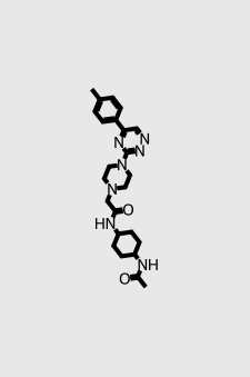 CC(=O)NC1CCC(NC(=O)CN2CCN(c3nncc(-c4ccc(C)cc4)n3)CC2)CC1